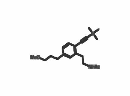 COCCCc1ccc(C#C[Si](C)(C)C)c(CCNC(C)=O)c1